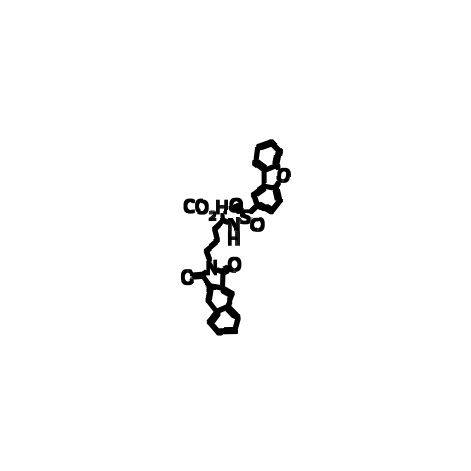 O=C(O)C(CCCN1C(=O)c2cc3ccccc3cc2C1=O)NS(=O)(=O)c1ccc2oc3ccccc3c2c1